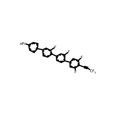 CCCc1ccc(-c2ccc(-c3ccc(-c4cc(F)c(C#CC(F)(F)F)c(F)c4)c(F)c3)c(F)c2)cc1